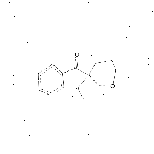 [CH2]CC1(C(=O)c2ccccc2)CCCOC1